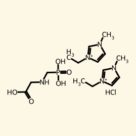 CC[n+]1ccn(C)c1.CC[n+]1ccn(C)c1.Cl.O=C(O)CNCP(=O)(O)O